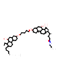 C[C@@H](CCC(=O)O)[C@@H]1CCC2C3C(CC[C@]21C)[C@]1(C)CC[C@H](OCCCCCO[C@H]2CC[C@]4(C)C(C2)C[C@@H](O)C2C4CC[C@]4(C)C2CC[C@H]4[C@@H](C)CCC(=O)NCCS(=O)(=O)O)CC1C[C@H]3O